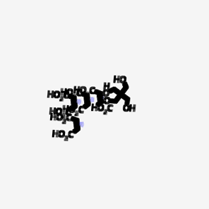 O=C(O)/C=C\C(=O)O.O=C(O)/C=C\C(=O)O.O=C(O)/C=C\C(=O)O.O=C(O)/C=C\C(=O)O.OCC(CO)(CO)CO